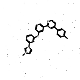 Cc1ccc(-c2ccnc(-c3cccc(Oc4cccc(-n5cc[n+](C)c5)c4)c3)c2)cc1